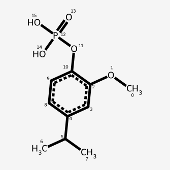 COc1cc(C(C)C)ccc1OP(=O)(O)O